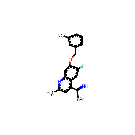 CCCC(=N)c1cc(C)nc2cc(OCc3cccc(C#N)c3)c(F)cc12